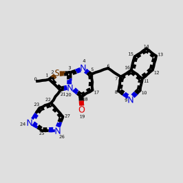 Cc1sc2nc(Cc3cncc4ccccc34)cc(=O)n2c1-c1cncnc1